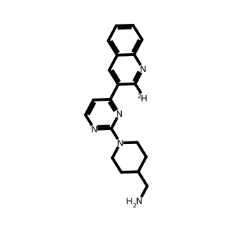 [2H]c1nc2ccccc2cc1-c1ccnc(N2CCC(CN)CC2)n1